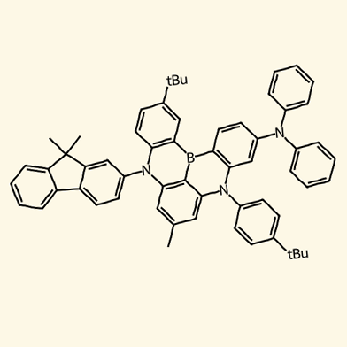 Cc1cc2c3c(c1)N(c1ccc(C(C)(C)C)cc1)c1cc(N(c4ccccc4)c4ccccc4)ccc1B3c1cc(C(C)(C)C)ccc1N2c1ccc2c(c1)C(C)(C)c1ccccc1-2